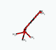 CCCCCCCCCCCCOc1cc(Cn2cc(COCCOCCOCCOCCOCCOCCOCCOCCOCCOCCOCCOCCP(=O)(O)OCC)nn2)cc(OCCCCCCCCCCCC)c1OCCCCCCCCCCCC